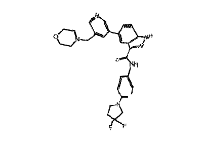 C=C(/C=C\C(=C/C)NC(=O)c1n[nH]c2ccc(-c3cncc(CN4CCOCC4)c3)cc12)N1CCC(F)(F)C1